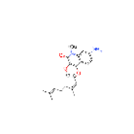 CCCCn1c(=O)c(OC=O)c(OCC=C(C)CCC=C(C)C)c2ccc(N)cc21